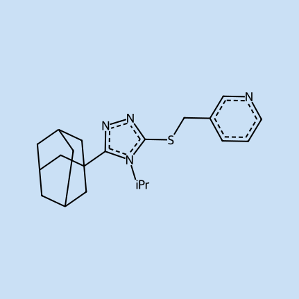 CC(C)n1c(SCc2cccnc2)nnc1C12CC3CC(CC(C3)C1)C2